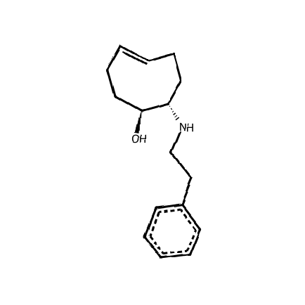 O[C@H]1CC/C=C/CC[C@@H]1NCCc1ccccc1